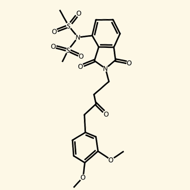 COc1ccc(CC(=O)CCN2C(=O)c3cccc(N(S(C)(=O)=O)S(C)(=O)=O)c3C2=O)cc1OC